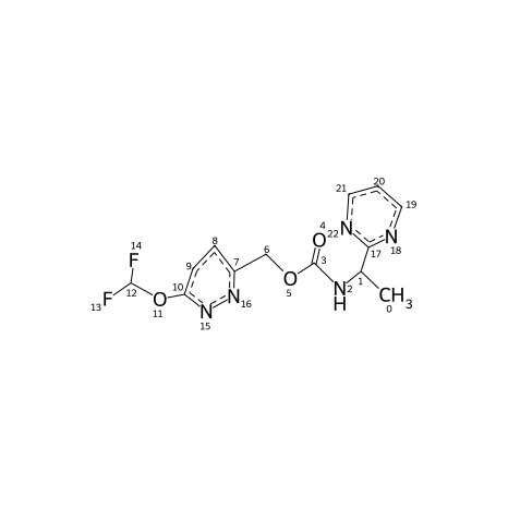 CC(NC(=O)OCc1ccc(OC(F)F)nn1)c1ncccn1